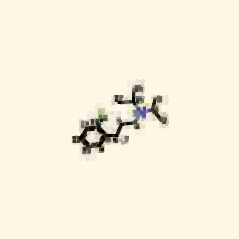 CC(C)N(CC[C@H](C)c1ccccc1F)C(C)C